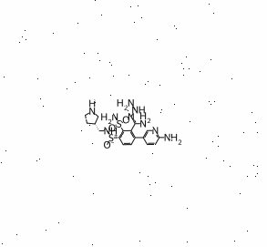 NN/N=C(\N)c1c(-c2ccc(N)nc2)ccc([S+]([O-])NC[C@@H]2CCNC2)c1S(N)(=O)=O